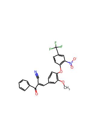 COc1cc(/C=C(\C#N)C(=O)c2ccccc2)ccc1Oc1ccc(C(F)(F)F)cc1[N+](=O)[O-]